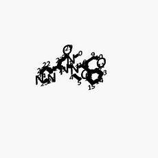 Cn1c(N2CCOC3(CCCOc4ccccc43)C2)nc(-c2ccncn2)cc1=O